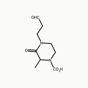 CC1C(=O)N(CCC=O)CCN1C(=O)O